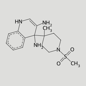 CC1(C2(N)C(N)=CNc3ccccc32)CCN(S(C)(=O)=O)CC1